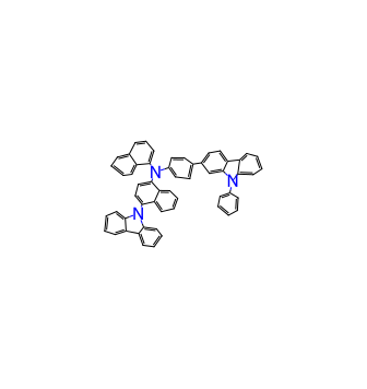 c1ccc(-n2c3ccccc3c3ccc(-c4ccc(N(c5cccc6ccccc56)c5ccc(-n6c7ccccc7c7ccccc76)c6ccccc56)cc4)cc32)cc1